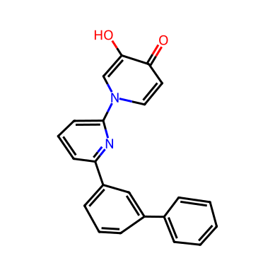 O=c1ccn(-c2cccc(-c3cccc(-c4ccccc4)c3)n2)cc1O